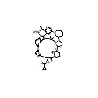 CCn1c(-c2cc(N3CCCCC(N(C)C)C3)cnc2[C@H](C)OC)c2c3cc(ccc31)-c1csc(n1)C[C@H](NC(=O)[C@H]1C[C@@H]1C)C(=O)N1CCC[C@H](N1)C(=O)OCC(C)(C)C2